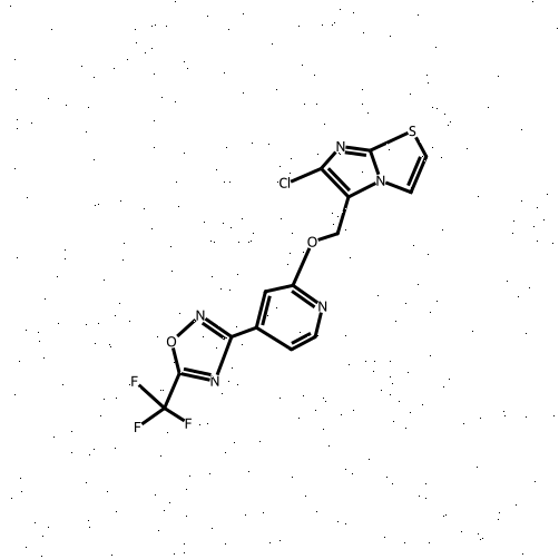 FC(F)(F)c1nc(-c2ccnc(OCc3c(Cl)nc4sccn34)c2)no1